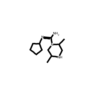 CC1CN(/C(N)=N\C2CCCC2)C(C)CN1